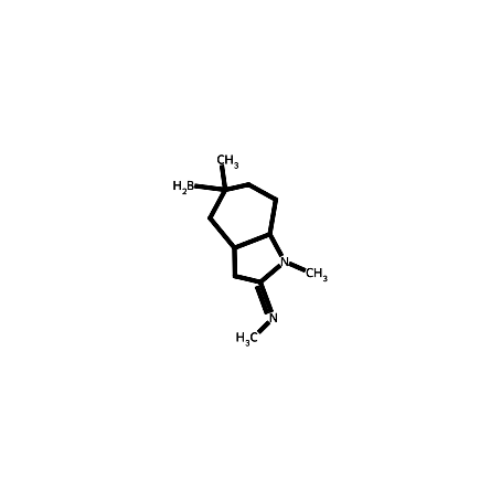 BC1(C)CCC2C(C/C(=N\C)N2C)C1